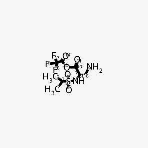 CC(C)S(=O)(=O)N[C@@H](CN)C(=O)OC(=O)C(F)(F)F